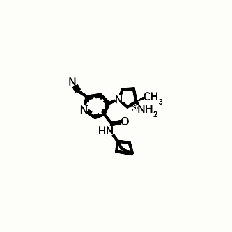 C[C@]1(N)CCN(c2cc(C#N)ncc2C(=O)NC23CC(C2)C3)C1